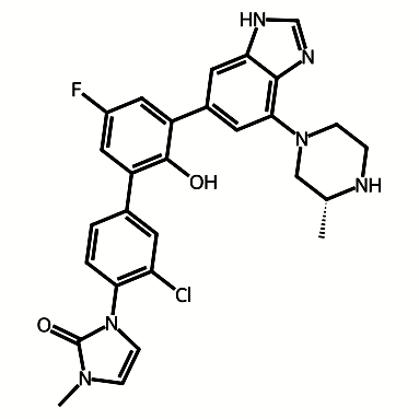 C[C@@H]1CN(c2cc(-c3cc(F)cc(-c4ccc(-n5ccn(C)c5=O)c(Cl)c4)c3O)cc3[nH]cnc23)CCN1